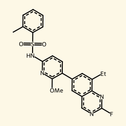 CCc1cc(-c2ccc(NS(=O)(=O)c3ccccc3C)nc2OC)cc2cnc(F)nc12